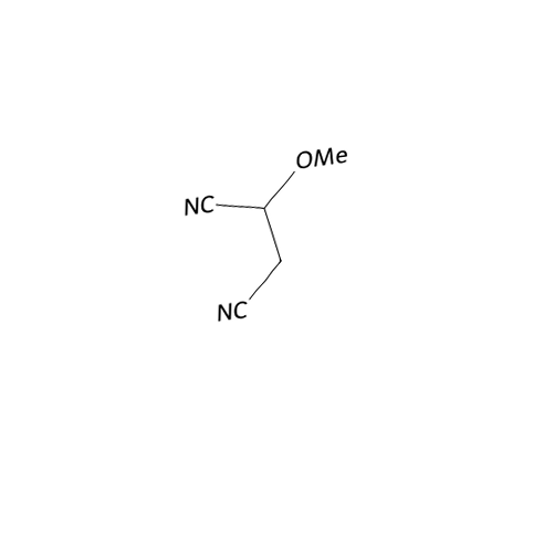 COC(C#N)CC#N